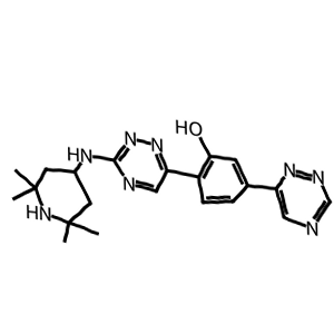 CC1(C)CC(Nc2ncc(-c3ccc(-c4cncnn4)cc3O)nn2)CC(C)(C)N1